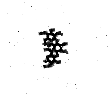 COC1C(CO)OC(OC2C(CO)OC(OC3C(CO)OC(C)C(NC(C)=O)C3O)C(N)C2O)C(N)C1O